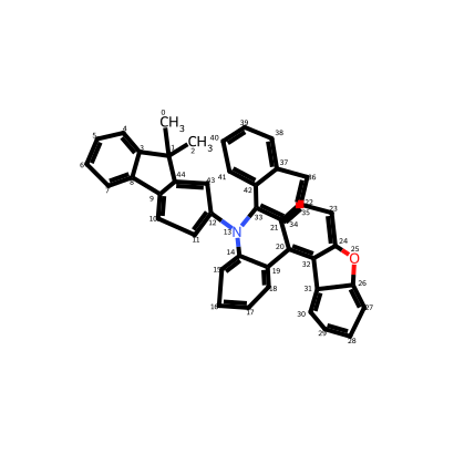 CC1(C)c2ccccc2-c2ccc(N(c3ccccc3-c3cccc4oc5ccccc5c34)c3cccc4ccccc34)cc21